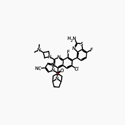 CN(C)C1CN(c2nc(N3CC4CCC(C3)N4C(=O)n3cc(C#N)cn3)c3cc(Cl)c(-c4ccc(F)c5sc(N)nc45)c(F)c3n2)C1